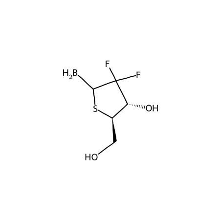 BC1S[C@H](CO)[C@@H](O)C1(F)F